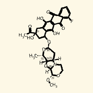 CO[C@H]1OCCN2[C@@H]1O[C@@H]1[C@H](C)O[C@@H](OC3C[C@](O)(C(C)=O)Cc4c(O)c5c(c(O)c43)C(=O)c3c(F)cccc3C5=O)C[C@@H]12